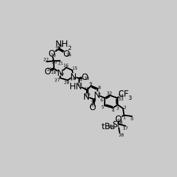 CC(Cc1ccc(-n2ccc(NC(=O)N3CCN(C(=O)C(C)(C)OC(N)=O)CC3)nc2=O)cc1C(F)(F)F)O[Si](C)(C)C(C)(C)C